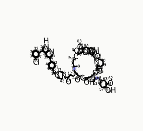 CO[C@H]1C[C@@H](C)C/C(C)=C/[C@@H](CCC(=O)N2CCN(Cc3ccc(-c4cnc5[nH]cc(-c6cccc(Cl)c6)c5c4)cc3)CC2)C(=O)C[C@H](O)[C@@H](C)[C@@H](/C(C)=C/[C@@H]2CC[C@@H](O)[C@H](OC)C2)OC(=O)[C@@H]2CCCCN2C(=O)C(=O)[C@]2(O)O[C@H]1[C@@H](OC)C[C@H]2C